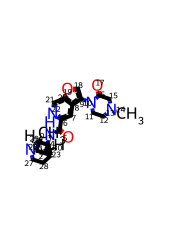 C[C@H]1[C@H](NC(=O)c2cc3c(N4CCN(C)CC4=O)coc3cn2)C2CCN1CC2